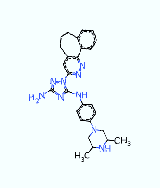 CC1CN(c2ccc(Nc3nc(N)nn3-c3cc4c(nn3)-c3ccccc3CCC4)cc2)CC(C)N1